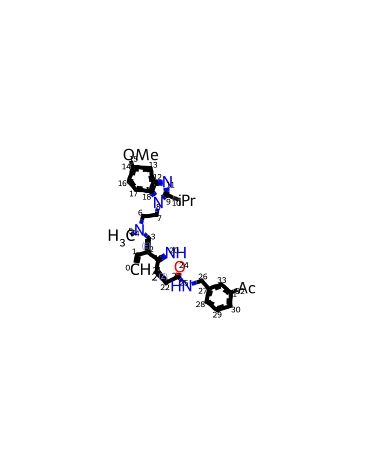 C=C/C(=C\N(C)CCn1c(C(C)C)nc2cc(OC)ccc21)C(=N)/C=C\C(=O)NCc1cccc(C(C)=O)c1